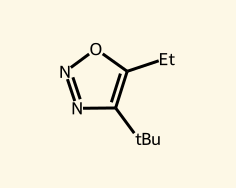 CCc1onnc1C(C)(C)C